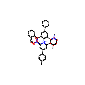 COC(=O)c1cc(-c2ccc(C)cc2)cc(-c2ccccc2C)[n+]1-c1c(-c2cccc[n+]2C)cc(-c2ccccc2)cc1-c1c2ccccc2cc[n+]1C